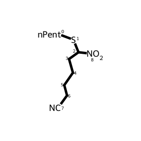 CCCCCSC(CCCCC#N)[N+](=O)[O-]